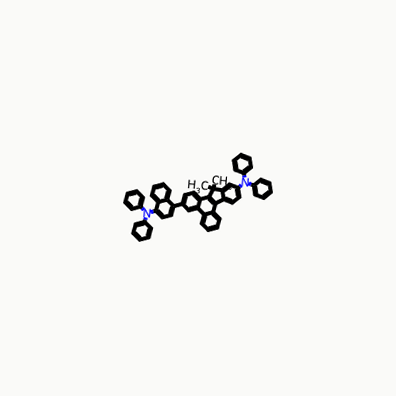 CC1(C)c2cc(N(c3ccccc3)c3ccccc3)ccc2-c2c1c1ccc(-c3ccc(N(c4ccccc4)c4ccccc4)c4ccccc34)cc1c1ccccc21